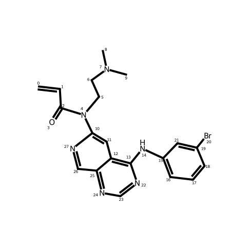 C=CC(=O)N(CCN(C)C)c1cc2c(Nc3cccc(Br)c3)ncnc2cn1